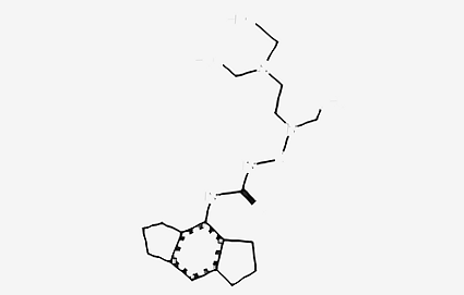 CCN(CC)CCN(CC)SNC(=O)Nc1c2c(cc3c1CCC3)CCC2